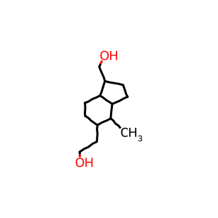 CC1C(CCO)CCC2C(CO)CCC12